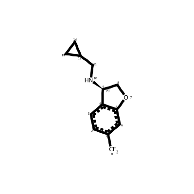 FC(F)(F)c1ccc2c(c1)OC[C@@H]2NCC1CC1